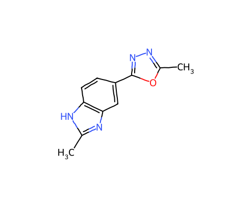 Cc1nc2cc(-c3nnc(C)o3)ccc2[nH]1